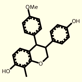 COc1ccc(C2c3ccc(O)c(C)c3OCC2c2ccc(O)cc2)cc1